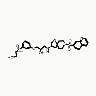 O=S(=O)(CCO)c1cccc(OCC(O)CN[C@H]2COC3(CCN(S(=O)(=O)c4ccc5cccnc5c4)CC3)C2)c1